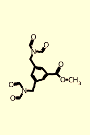 COC(=O)c1cc(CN(C=O)C=O)cc(CN(C=O)C=O)c1